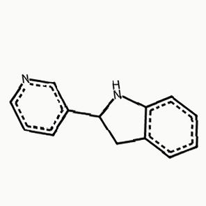 c1cncc(C2Cc3ccccc3N2)c1